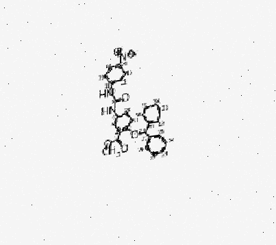 COC(=O)c1cc(NC(=O)Nc2ccc([N+](=O)[O-])cc2)ccc1OC(c1ccccc1)c1ccccc1